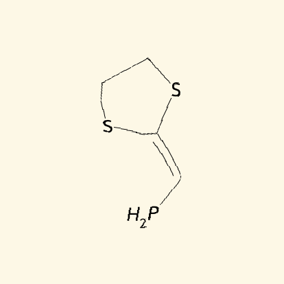 PC=C1SCCS1